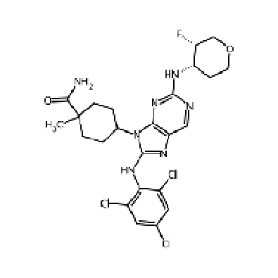 CC1(C(N)=O)CCC(n2c(Nc3c(Cl)cc(Cl)cc3Cl)nc3cnc(N[C@H]4CCOC[C@H]4F)nc32)CC1